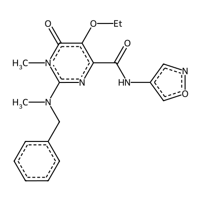 CCOc1c(C(=O)Nc2cnoc2)nc(N(C)Cc2ccccc2)n(C)c1=O